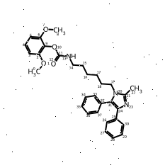 COc1cccc(OC)c1OC(=O)NCCCCCCn1c(C)nc(-c2ccccc2)c1-c1ccccc1